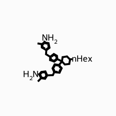 CCCCCCC1CCC(c2ccc(Cc3ccc(N)c(C)c3)cc2)(c2ccc(Cc3ccc(N)c(C)c3)cc2)CC1